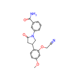 COc1ccc(C2CC(=O)N(c3cccc(C(N)=O)c3)C2)c(OCC#N)c1